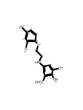 O=C(O)c1cc(NCCOc2ccc(Cl)cc2Cl)cc(Cl)c1O